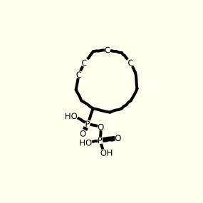 O=P(O)(O)OP(=O)(O)C1CCCCCCCCCCCCC1